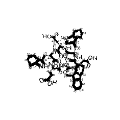 NC(=O)[C@H](CCC(=O)O)NC(=O)[C@H](Cc1c[nH]c2ccccc12)NC(=O)[C@H](CCC(=O)O)NC(=O)[C@H](Cc1c[nH]c2ccccc12)NC(=O)[C@H](CCC(=O)O)NC(=O)OCC1c2ccccc2-c2ccccc21